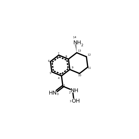 N=C(NO)c1cccc2c1CCC[C@H]2N